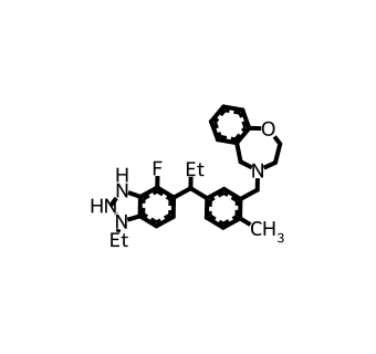 CCC(c1ccc(C)c(CN2CCOc3ccccc3C2)c1)c1ccc2c(c1F)NNN2CC